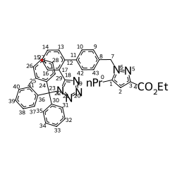 CCCc1cc(C(=O)OCC)nn1Cc1ccc(-c2ccccc2-c2nnnn2C(c2ccccc2)(c2ccccc2)c2ccccc2)cc1